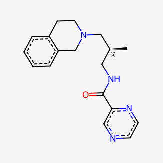 C[C@@H](CNC(=O)c1cnccn1)CN1CCc2ccccc2C1